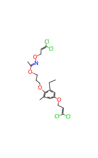 CCc1cc(OCC=C(Cl)Cl)cc(C)c1OCCCOC(C)=NOCC=C(Cl)Cl